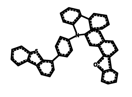 c1ccc(-c2ccccc2N(c2ccc(-c3cccc4c3sc3ccccc34)cc2)c2ccc3ccc4c5ccccc5oc4c3c2)cc1